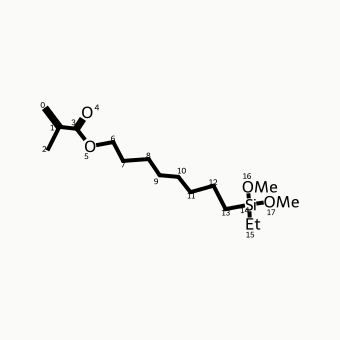 C=C(C)C(=O)OCCCCCCCC[Si](CC)(OC)OC